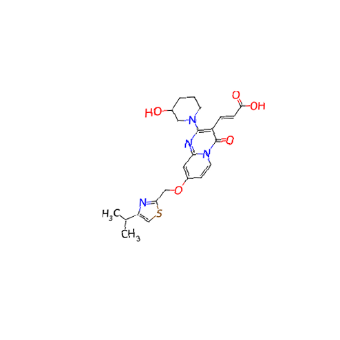 CC(C)c1csc(COc2ccn3c(=O)c(C=CC(=O)O)c(N4CCCC(O)C4)nc3c2)n1